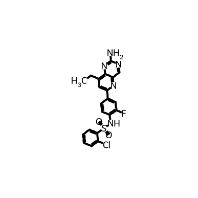 CCc1cc(-c2ccc(NS(=O)(=O)c3ccccc3Cl)c(F)c2)nc2cnc(N)nc12